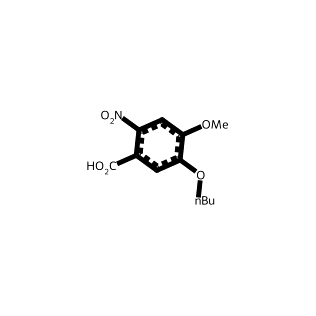 CCCCOc1cc(C(=O)O)c([N+](=O)[O-])cc1OC